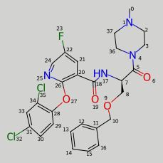 CN1CCN(C(=O)[C@@H](COCc2ccccc2)NC(=O)c2cc(F)cnc2Oc2ccc(Cl)cc2Cl)CC1